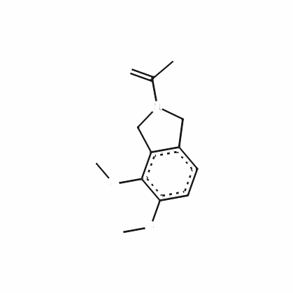 COc1ccc2c(c1OC)CN(C(C)=O)C2